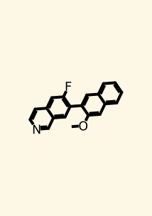 COc1cc2ccccc2cc1-c1cc2cnccc2cc1F